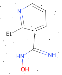 CCc1ncccc1C(=N)NO